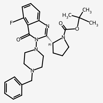 CC(C)(C)OC(=O)N1CCC[C@@H]1c1nc2cccc(F)c2c(=O)n1N1CCN(Cc2ccccc2)CC1